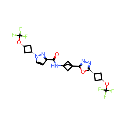 O=C(NC12CC(c3nnc([C@H]4C[C@@H](OC(F)(F)F)C4)o3)(C1)C2)c1ccn([C@H]2C[C@@H](OC(F)(F)F)C2)n1